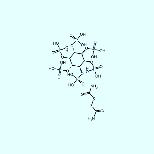 NC(=S)SSC(N)=S.O=P(O)(O)O[C@H]1[C@H](OP(=O)(O)O)[C@@H](OP(=O)(O)O)[C@H](OP(=O)(O)O)[C@@H](OP(=O)(O)O)[C@H]1OP(=O)(O)O